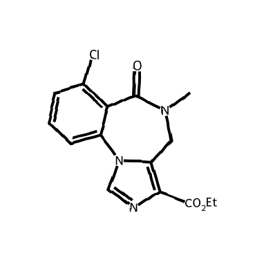 CCOC(=O)c1ncn2c1CN(C)C(=O)c1c(Cl)cccc1-2